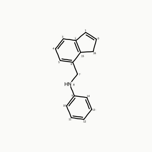 C1=Cc2cccc(CNc3ccccc3)c2C1